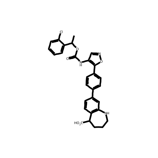 CC(OC(=O)Nc1cnoc1-c1ccc(-c2ccc3c(c2)NCCCC3C(=O)O)cc1)c1ccccc1Cl